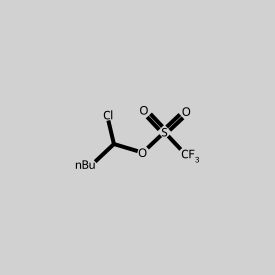 CCCCC(Cl)OS(=O)(=O)C(F)(F)F